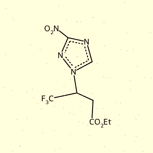 CCOC(=O)CC(n1cnc([N+](=O)[O-])n1)C(F)(F)F